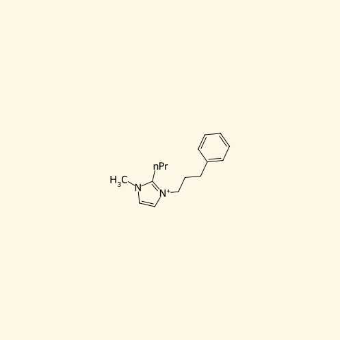 CCCc1n(C)cc[n+]1CCCc1ccccc1